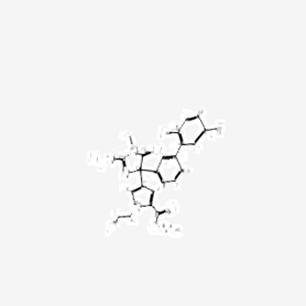 COC(=O)c1cc(C2(c3cccc(-c4cc(F)ccc4F)c3)N=C(N)N(C)C2=O)cn1CCF